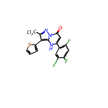 O=c1cc(-c2cc(F)c(F)cc2F)[nH]c2c(-c3cccs3)c(C(Cl)(Cl)Cl)nn12